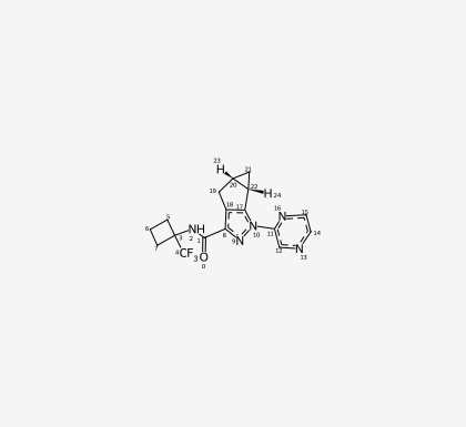 O=C(NC1(C(F)(F)F)CCC1)c1nn(-c2cnccn2)c2c1C[C@@H]1C[C@H]21